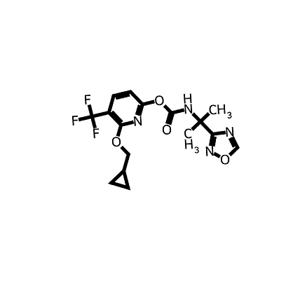 CC(C)(NC(=O)Oc1ccc(C(F)(F)F)c(OCC2CC2)n1)c1ncon1